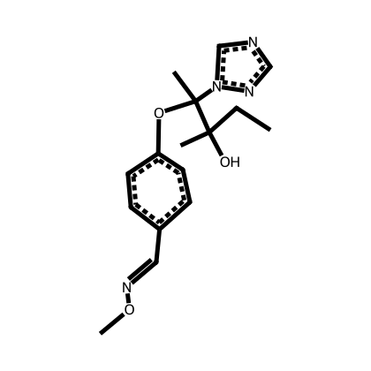 CCC(C)(O)C(C)(Oc1ccc(C=NOC)cc1)n1cncn1